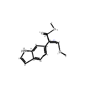 CO/C=C(/C(=O)OC)c1ccc2cc[nH]c2c1